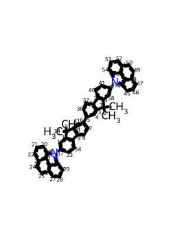 CC1(C)c2cc(-c3ccc4c(c3)C(C)(C)c3cc(-n5c6cccc7ccc8cccc5c8c76)ccc3-4)ccc2-c2ccc(-n3c4cccc5ccc6cccc3c6c54)cc21